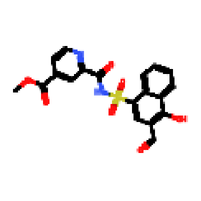 COC(=O)c1ccnc(C(=O)NS(=O)(=O)c2cc(C=O)c(O)c3ccccc23)c1